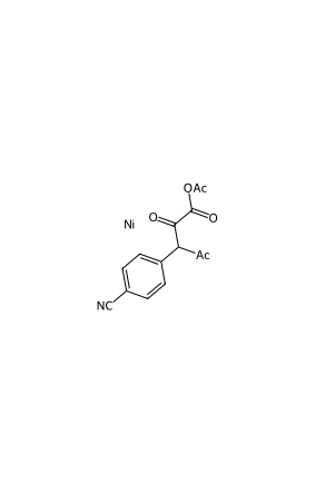 CC(=O)OC(=O)C(=O)C(C(C)=O)c1ccc(C#N)cc1.[Ni]